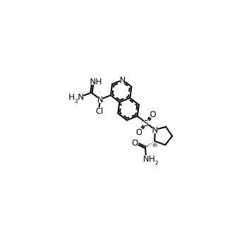 N=C(N)N(Cl)c1cncc2cc(S(=O)(=O)N3CCC[C@@H]3C(N)=O)ccc12